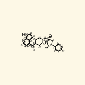 CCN=S(=O)(CCc1cccnc1)CC1CCC(N(C)c2ncnc3[nH]ccc23)CC1